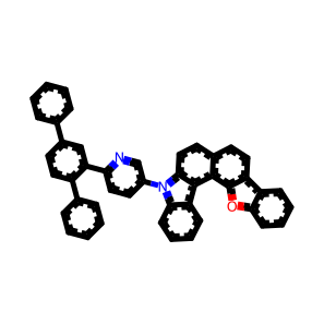 c1ccc(-c2ccc(-c3ccccc3)c(-c3ccc(-n4c5ccccc5c5c6c(ccc7c8ccccc8oc76)ccc54)cn3)c2)cc1